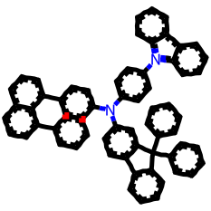 c1ccc(-c2cccc3cccc(-c4ccc(N(c5ccc(-n6c7ccccc7c7ccccc76)cc5)c5ccc6c(c5)C(c5ccccc5)(c5ccccc5)c5ccccc5-6)cc4)c23)cc1